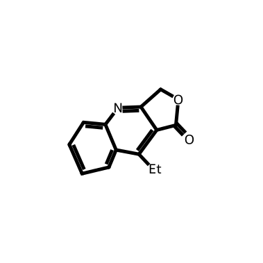 CCc1c2c(nc3ccccc13)COC2=O